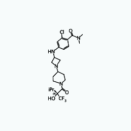 CC(C)[C@@](O)(C(=O)N1CCC(N2CC(Nc3ccc(C(=O)N(C)C)c(Cl)c3)C2)CC1)C(F)(F)F